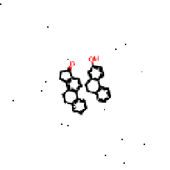 O=C1CCc2c1ccc1c2CCc2ccccc2-1.Oc1ccc2c(c1)CCc1ccccc1-2